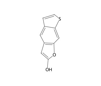 Oc1cc2cc3ccsc3cc2o1